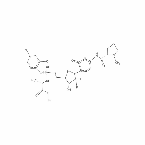 CC(C)OC(=O)[C@H](C)N[PH](O)(OC[C@H]1OC(n2ccc(NC(=O)[C@@H]3CCCN3C)nc2=O)C(F)(F)[C@@H]1O)Oc1ccc(Cl)cc1Cl